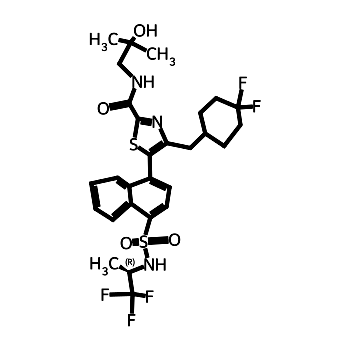 C[C@@H](NS(=O)(=O)c1ccc(-c2sc(C(=O)NCC(C)(C)O)nc2CC2CCC(F)(F)CC2)c2ccccc12)C(F)(F)F